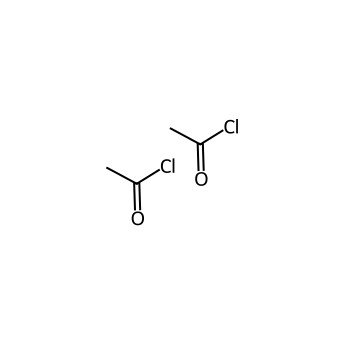 CC(=O)Cl.CC(=O)Cl